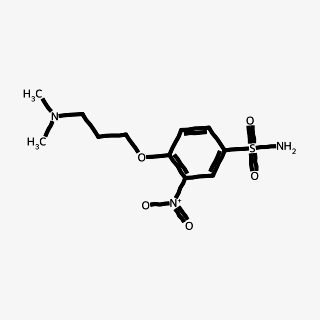 CN(C)CCCOc1ccc(S(N)(=O)=O)cc1[N+](=O)[O-]